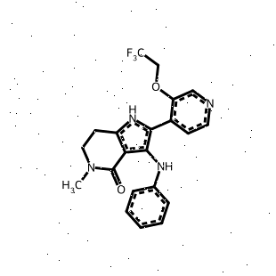 CN1CCc2[nH]c(-c3ccncc3OCC(F)(F)F)c(Nc3ccccc3)c2C1=O